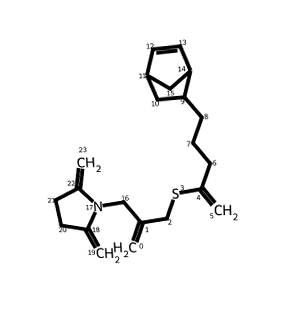 C=C(CSC(=C)CCCC1CC2C=CC1C2)CN1C(=C)CCC1=C